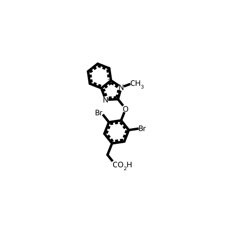 Cn1c(Oc2c(Br)cc(CC(=O)O)cc2Br)nc2ccccc21